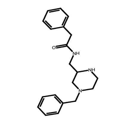 O=C(Cc1ccccc1)NCC1CN(Cc2ccccc2)CCN1